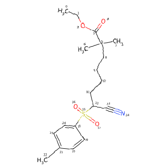 CCOC(=O)C(C)(C)CCCCC(C#N)S(=O)(=O)c1ccc(C)cc1